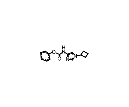 O=C(Nc1cn(C2CCC2)cn1)Oc1ccccc1